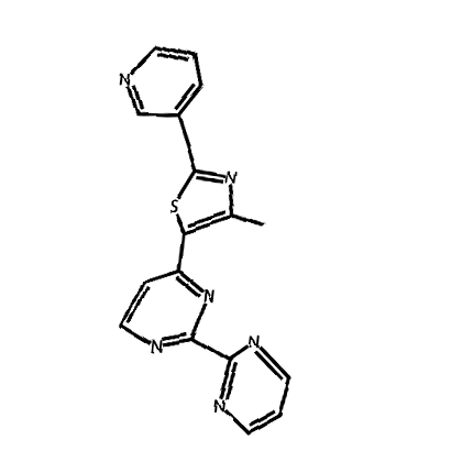 Cc1nc(-c2cccnc2)sc1-c1ccnc(-c2ncccn2)n1